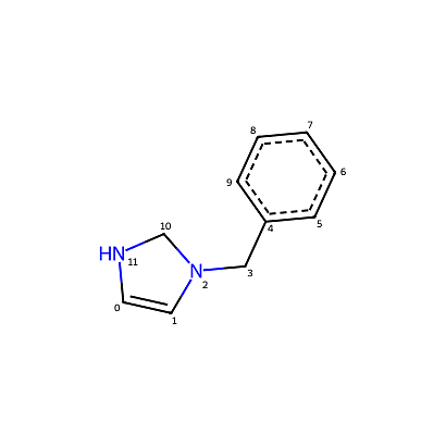 C1=CN(Cc2ccccc2)CN1